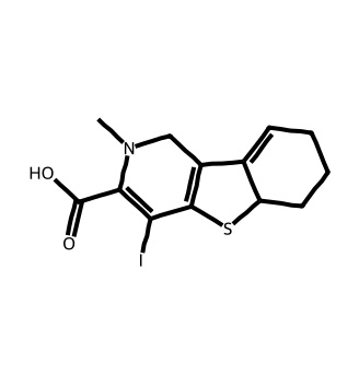 CN1CC2=C(SC3CCCC=C23)C(I)=C1C(=O)O